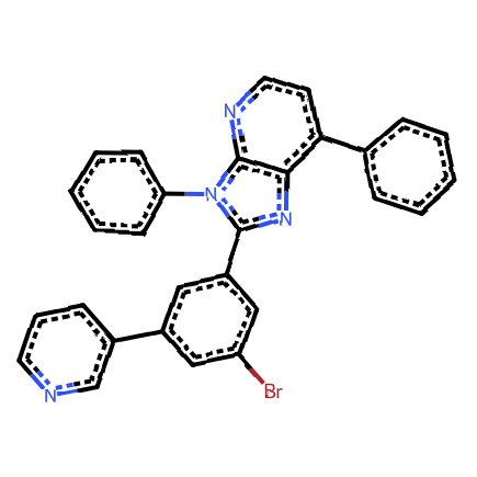 Brc1cc(-c2cccnc2)cc(-c2nc3c(-c4ccccc4)ccnc3n2-c2ccccc2)c1